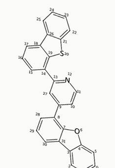 c1ccc2c(c1)oc1c(-c3ccnc(-c4cccc5c4sc4ccccc45)c3)cccc12